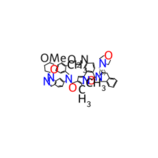 COc1cccc(CN(C(=O)c2cc(-c3cc([N+](=O)[O-])ccc3C(=O)N3Cc4ccccc4C[C@H]3CN3CCOCC3)n(C)c2C)c2ccc3cnn(C4CCCCO4)c3c2)c1C